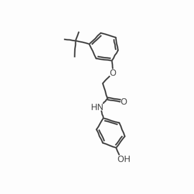 CC(C)(C)c1cccc(OCC(=O)Nc2ccc(O)cc2)c1